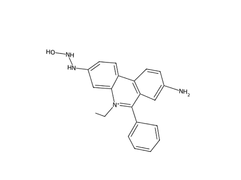 CC[n+]1c(-c2ccccc2)c2cc(N)ccc2c2ccc(NNO)cc21